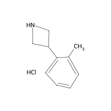 Cc1ccccc1C1CNC1.Cl